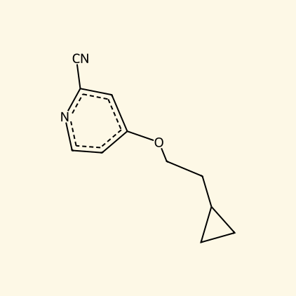 N#Cc1cc(OCCC2CC2)ccn1